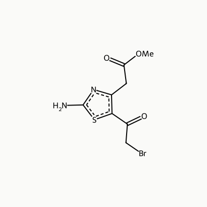 COC(=O)Cc1nc(N)sc1C(=O)CBr